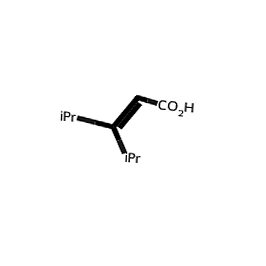 CC(C)C(=CC(=O)O)C(C)C